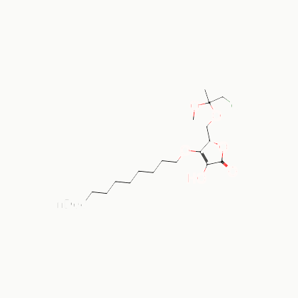 CCCCCCCCCCCCCCCCCCOC1=C(O)C(=O)O[C@@H]1[C@@H]1COC(C)(CCl)O1